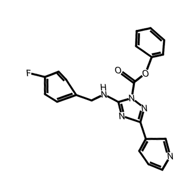 O=C(Oc1ccccc1)n1nc(-c2cccnc2)nc1NCc1ccc(F)cc1